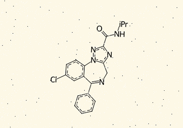 CC(C)NC(=O)c1nc2n(n1)-c1ccc(Cl)cc1C(c1ccccc1)=NC2